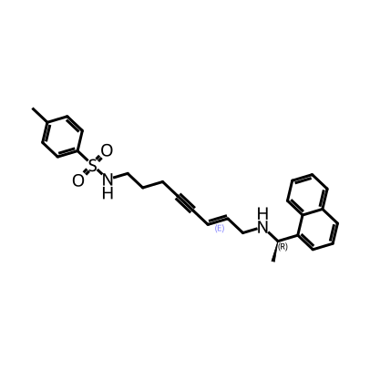 Cc1ccc(S(=O)(=O)NCCCC#C/C=C/CN[C@H](C)c2cccc3ccccc23)cc1